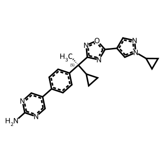 C[C@](c1ccc(-c2cnc(N)nc2)cc1)(c1noc(-c2cnn(C3CC3)c2)n1)C1CC1